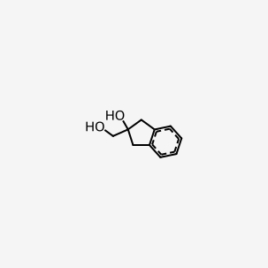 OCC1(O)Cc2ccccc2C1